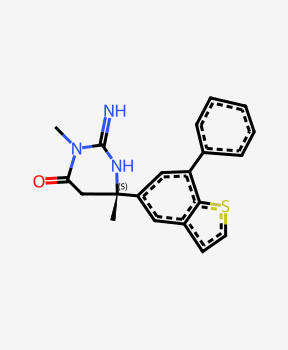 CN1C(=N)N[C@](C)(c2cc(-c3ccccc3)c3sccc3c2)CC1=O